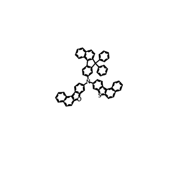 c1ccc(C2(c3ccccc3)c3cc(N(c4ccc5c(c4)oc4ccc6ccccc6c45)c4ccc5c(c4)sc4ccc6ccccc6c45)ccc3-c3c2ccc2ccccc32)cc1